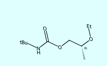 CCO[C@H](C)COC(=O)NC(C)(C)C